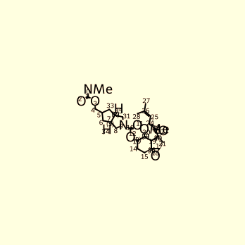 CNC(=O)OCC1C[C@@H]2CN(C(=O)O[C@@H]3CC[C@]4(CO4)C([C@@]4(C)O[C@@H]4CC=C(C)C)[C@@H]3OC)C[C@@H]2C1